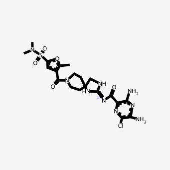 Cc1oc(S(=O)(=O)N(C)C)cc1C(=O)N1CCC2(CC1)CN/C(=N\C(=O)c1nc(Cl)c(N)nc1N)N2